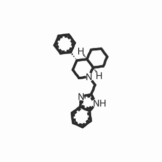 c1ccc([C@H]2CCN(Cc3nc4ccccc4[nH]3)[C@@H]3CCCC[C@H]23)cc1